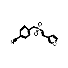 N#Cc1ccc(CS(=O)(=O)C=Cc2ccoc2)cc1